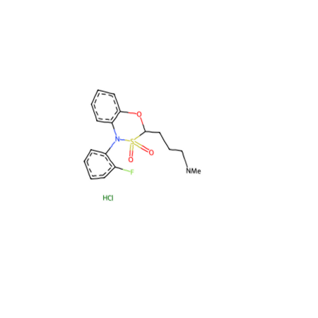 CNCCCC1Oc2ccccc2N(c2ccccc2F)S1(=O)=O.Cl